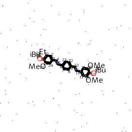 CCc1cc(/C=C/c2ccc(/C=C/c3cc(OC)c(OC(C)CC)c(OC)c3)cc2)cc(OC)c1OC(C)CC